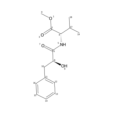 COC(=O)[C@@H](NC(=O)[C@@H](O)Cc1ccccc1)C(C)C